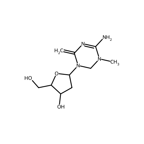 C=C1N=C(N)N(C)CN1C1CC(O)C(CO)O1